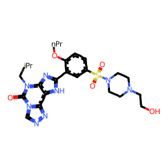 CCCOc1ccc(S(=O)(=O)N2CCN(CCO)CC2)cc1-c1nc2c([nH]1)c1nncn1c(=O)n2CC(C)C